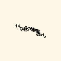 C=CCOc1ccc(C(=O)Oc2ccc3cc(C(=O)Oc4ccc(OCOC(=O)C=C)cc4)ccc3c2)cc1